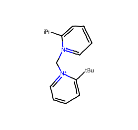 CC(C)c1cccc[n+]1C[n+]1ccccc1C(C)(C)C